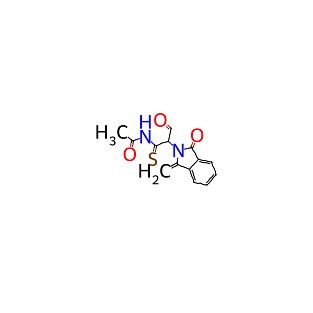 C=C1c2ccccc2C(=O)N1C(C=O)C(=S)NC(C)=O